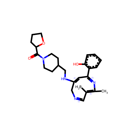 BC1=C(C)\N=C(c2ccccc2O)/C=C(/NCC2CCN(C(=O)C3CCCO3)CC2)C/N=C\1